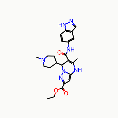 CCOC(=O)c1cc2n(n1)C(C1CCN(C)CC1)C(C(=O)Nc1ccc3[nH]ncc3c1)=C(C)N2